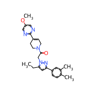 CCc1cc(-c2ccc(C)c(C)c2)nn1CC(=O)N1CC=C(c2ncc(OC)cn2)CC1